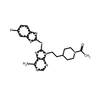 CC(=O)N1CCC(CCn2c(Sc3nc4ccc(F)cc4s3)nc3c(N)ncnc32)CC1